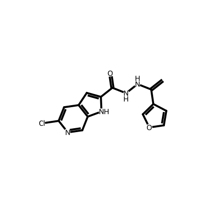 C=C(NNC(=O)c1cc2cc(Cl)ncc2[nH]1)c1ccoc1